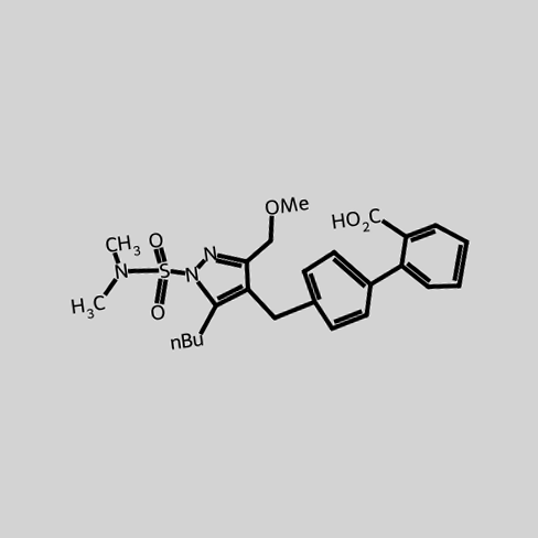 CCCCc1c(Cc2ccc(-c3ccccc3C(=O)O)cc2)c(COC)nn1S(=O)(=O)N(C)C